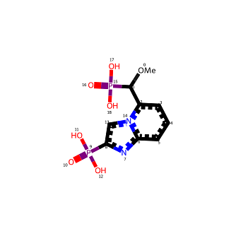 COC(c1cccc2nc(P(=O)(O)O)cn12)P(=O)(O)O